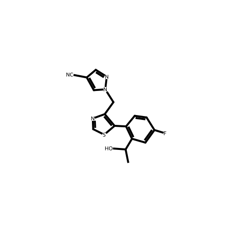 CC(O)c1cc(F)ccc1-c1scnc1Cn1cc(C#N)cn1